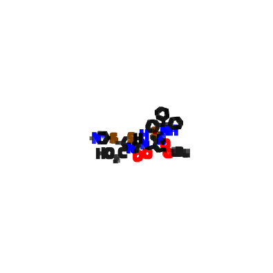 C[n+]1ccc(SCC2=C(C(=O)O)N3C(=O)C(NC(=O)/C(=C/C(=O)OC(C)(C)C)c4csc(NC(c5ccccc5)(c5ccccc5)c5ccccc5)n4)[C@H]3SC2)cc1